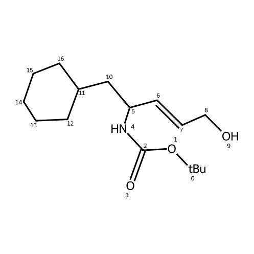 CC(C)(C)OC(=O)NC(C=CCO)CC1CCCCC1